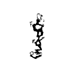 Fc1cc2cc(-c3c(F)cc(CCC4OCCCO4)cc3F)ccc2c(F)c1C#CC(F)(F)F